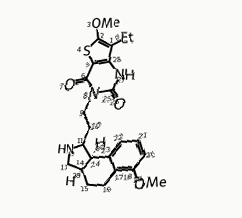 CCc1c(OC)sc2c(=O)n(CCC3NC[C@@H]4CCc5c(OC)cccc5[C@H]34)c(=O)[nH]c12